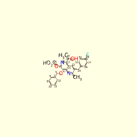 Cc1nc2c(OCc3ccccc3)c(OC(=O)O)nc(C(C)O)c2cc1Cc1ccc(F)cc1